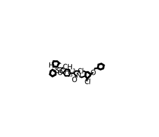 CC(C)(C)[Si](OC1CCC(C2CCN(Cc3c(Cl)cc(OCc4ccccc4)cc3Cl)C2=O)CC1)(c1ccccc1)c1ccccc1